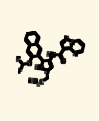 O=C(O)CN1C=C(NC(=O)c2cnn3cccnc23)C(c2cc3ccccc3cc2OC(F)F)N1